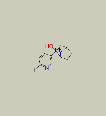 OC1(c2ccc(I)nc2)CC2CCC1N2